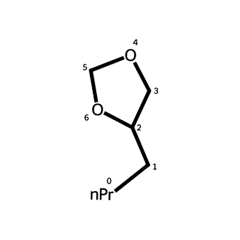 [CH2]CCCC1COCO1